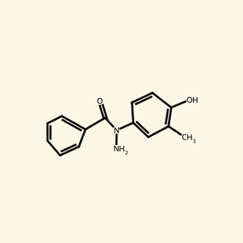 Cc1cc(N(N)C(=O)c2ccccc2)ccc1O